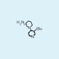 CC(C)(C)c1cnccc1N1CCC[C@@H](N)C1